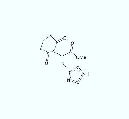 COC(=O)[C@H](Cc1c[nH]cn1)N1C(=O)CCCC1=O